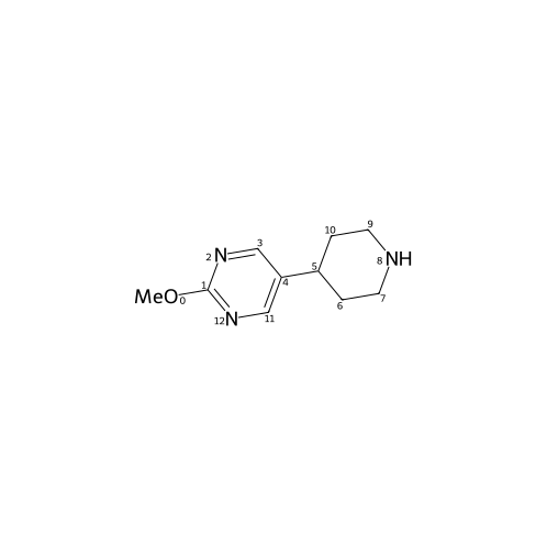 COc1ncc(C2CCNCC2)cn1